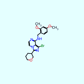 COc1ccc(CNc2nccn3c(C4CCCOC4)nc(Br)c23)c(OC)c1